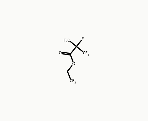 O=C(OCC(F)(F)F)C(F)(C(F)(F)F)C(F)(F)F